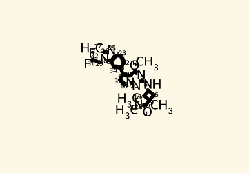 COc1nc(NC2CC(C)(C(=O)N(C)C)C2)nn2ccc(-c3ccc4nc(C)n(CC(F)F)c4c3)c12